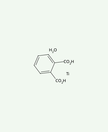 O.O=C(O)c1ccccc1C(=O)O.[Ti]